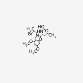 C=CCC(NC(=O)O)C(=O)N(CC(=C)Br)Cc1ccc(OC)cc1OC